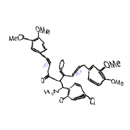 COc1ccc(/C=C/C(=O)C(C(=O)/C=C/c2ccc(OC)c(OC)c2)C(N)c2ccc(Cl)cc2Cl)cc1OC